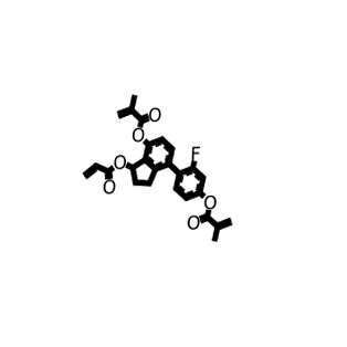 C=CC(=O)OC1CCc2c(-c3ccc(OC(=O)C(=C)C)cc3F)ccc(OC(=O)C(=C)C)c21